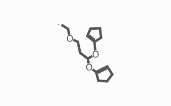 [CH2]COCCC(OC1=CCCC1)OC1=CCCC1